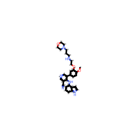 COc1ccc(-c2cncc(C#N)c2Nc2cccc3[nH]ccc23)cc1OCCNCCCN1CCOCC1